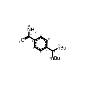 CCCCC(CCCC)c1ccc(C(N)=O)cc1